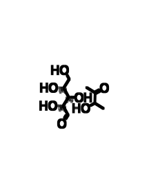 CC(=O)C(C)O.O=C[C@H](O)[C@H](O)[C@H](O)CO